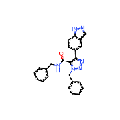 O=C(NCc1ccccc1)c1c(-c2ccc3[nH]ncc3c2)nnn1Cc1ccccc1